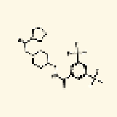 C=C(NCC1CCN(CC(=C)N2CCCC2)CC1)c1cc(C(C)(F)F)cc(C(F)(F)F)c1